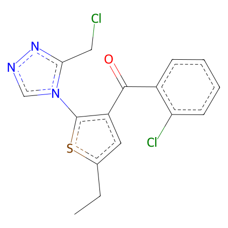 CCc1cc(C(=O)c2ccccc2Cl)c(-n2cnnc2CCl)s1